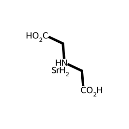 O=C(O)CNCC(=O)O.[SrH2]